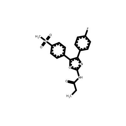 CCC(=O)Nc1nc(-c2ccc(F)cc2)c(-c2ccc(S(C)(=O)=O)cc2)o1